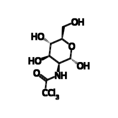 O=C(N[C@H]1[C@@H](O)[C@H](O)[C@@H](CO)O[C@@H]1O)C(Cl)(Cl)Cl